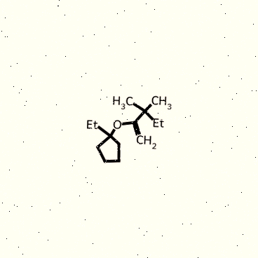 C=C(OC1(CC)CCCC1)C(C)(C)CC